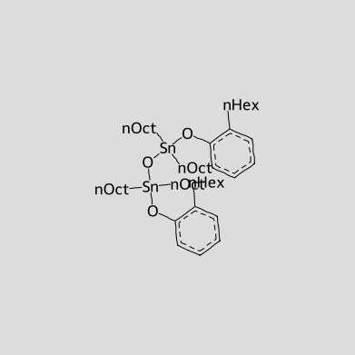 CCCCCCC[CH2][Sn]([CH2]CCCCCCC)([O]c1ccccc1CCCCCC)[O][Sn]([CH2]CCCCCCC)([CH2]CCCCCCC)[O]c1ccccc1CCCCCC